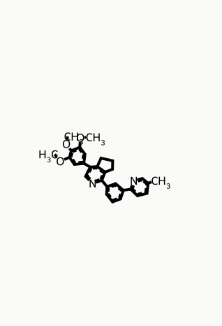 COc1cc(-c2cnc(-c3cccc(-c4ccc(C)cn4)c3)c3c2CCC3)cc(OC)c1OC